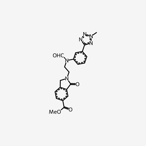 COC(=O)c1ccc2c(c1)C(=O)N(CCN(C=O)c1cccc(-c3nnn(C)n3)c1)C2